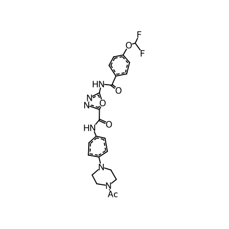 CC(=O)N1CCN(c2ccc(NC(=O)c3nnc(NC(=O)c4ccc(OC(F)F)cc4)o3)cc2)CC1